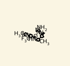 Cc1ccc(NC(=O)c2ccc(N3CCN(C)CC3)c(C(F)(F)F)c2)cc1-c1ccc2ccn(-c3cc(N)ncn3)c2c1